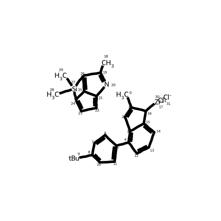 CC1=Cc2c(-c3ccc(C(C)(C)C)cc3)cccc2[CH]1[Zr+2].CC1=NC2=CC=C3C2=C1[Si]3(C)C.[Cl-].[Cl-]